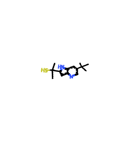 CC(C)(C)c1cnc2cc(C(C)(C)S)[nH]c2c1